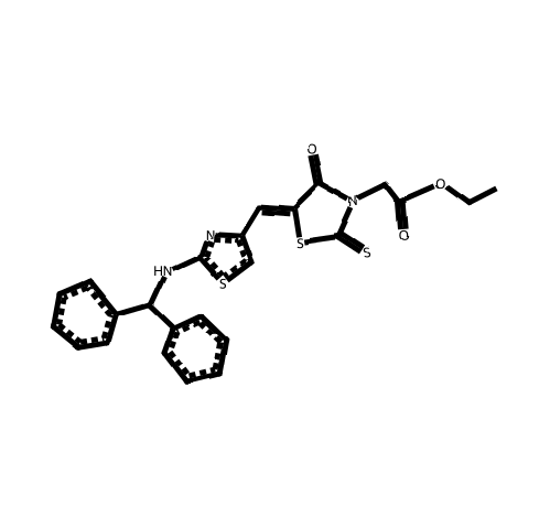 CCOC(=O)CN1C(=O)C(=Cc2csc(NC(c3ccccc3)c3ccccc3)n2)SC1=S